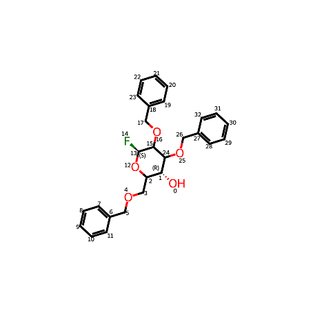 O[C@@H]1C(COCc2ccccc2)O[C@@H](F)C(OCc2ccccc2)C1OCc1ccccc1